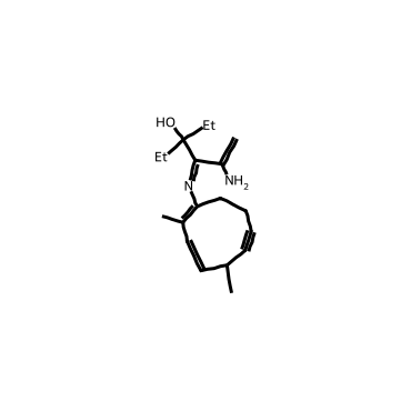 C=C(N)\C(=N/C1=C(C)/C=C\C(C)C#CCC1)C(O)(CC)CC